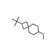 COC1CCC2(CC1)CN(C(C)(C)C)C2